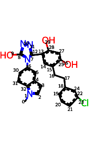 Cn1ccc2cc(-n3c(O)nnc3-c3cc(CCc4cccc(Cl)c4)c(O)cc3O)ccc21